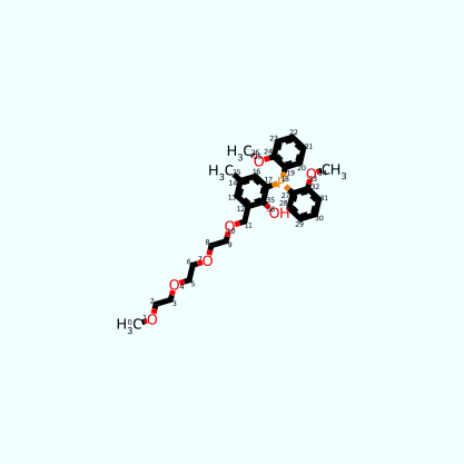 COCCOCCOCCOCc1cc(C)cc(P(c2ccccc2OC)c2ccccc2OC)c1O